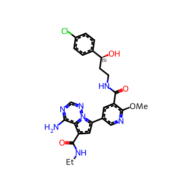 CCNC(=O)c1cc(-c2cnc(OC)c(C(=O)NCC[C@H](O)c3ccc(Cl)cc3)c2)n2ncnc(N)c12